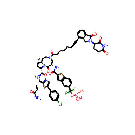 NC(=O)CC[C@H](NC(=O)[C@@H]1CC[C@@H]2CCN(C(=O)CCCCCC#Cc3cccc4c3CN(C3CCC(=O)NC3=O)C4=O)C[C@H](NC(=O)c3cc4cc(C(F)(F)OP(O)O)ccc4s3)C(=O)N21)c1ncc(-c2ccc(Cl)cc2)s1